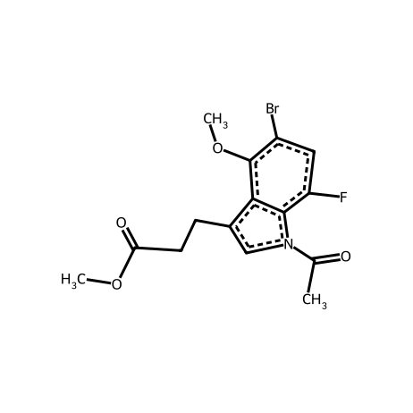 COC(=O)CCc1cn(C(C)=O)c2c(F)cc(Br)c(OC)c12